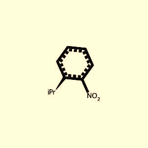 [CH2][C@H](C)c1ccccc1[N+](=O)[O-]